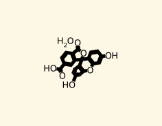 O.O=C(O)c1ccc2c(c1)C1(OC2=O)c2ccc(O)cc2Oc2cc(O)ccc21